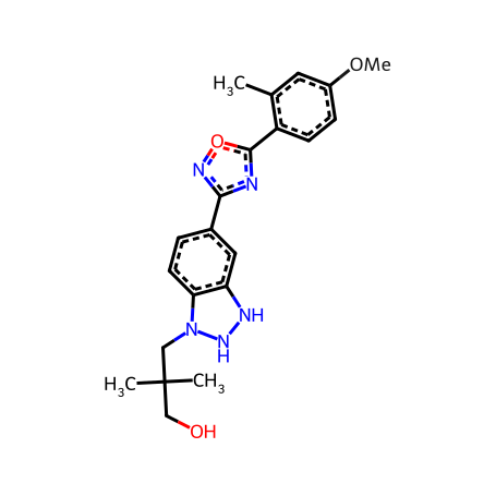 COc1ccc(-c2nc(-c3ccc4c(c3)NNN4CC(C)(C)CO)no2)c(C)c1